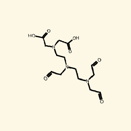 O=CCN(CC=O)CCN(CC=O)CCN(CC(=O)O)CC(=O)O